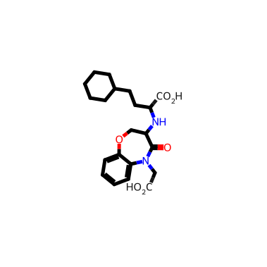 O=C(O)CN1C(=O)C(NC(CCC2CCCCC2)C(=O)O)COc2ccccc21